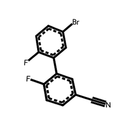 N#Cc1ccc(F)c(-c2cc(Br)ccc2F)c1